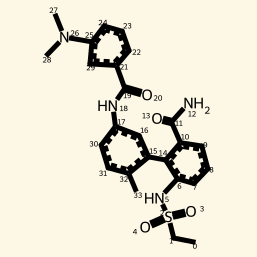 CCS(=O)(=O)Nc1cccc(C(N)=O)c1-c1cc(NC(=O)c2cccc(N(C)C)c2)ccc1C